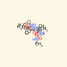 C=CCNC(=O)C(=O)C(CC1CC1)NC(=O)[C@@H]1[C@@H]2C(CN1C(=O)[C@@H](NC(=O)NC1(CS(=O)(=O)C(C)(C)C)CCCCC1)C1Cc3ccccc3C1)C2(C)C